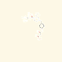 C[C@H]1CN(Cc2ccc(OC(=O)CC(=O)O)cc2)CCN1C(=O)OC(C)(C)C